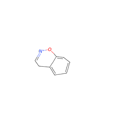 C1=[N+]Oc2ccccc2C1